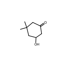 CC1(C)CC(=O)CC(O)C1